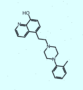 Cc1ccccc1N1CCN(CCc2ccc(O)c3ncccc23)CC1